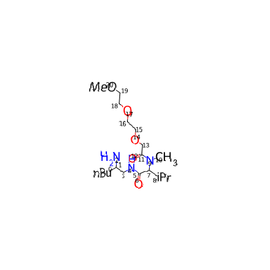 CCCCC(N)CNC(=O)C(C(C)C)N(C)C(=O)COCCOCCOC